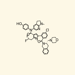 CN1CCc2cc(N(C(=O)c3cc(-c4cc(Cl)ccc4C(=O)N4Cc5ccccc5C[C@H]4CN4CCOCC4)n(C)c3CC(F)F)c3ccc(O)cc3)cnc21